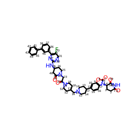 O=C1CCC(n2c(=O)oc3cc(C4CCN(CC5CCN(C(=O)CN6CCC(Nc7ncc(F)c(-c8cccc(-c9ccccc9)c8)n7)CC6=O)CC5)CC4)ccc32)C(=O)N1